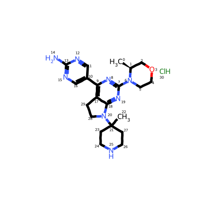 C[C@H]1COCCN1c1nc(-c2cnc(N)nc2)c2c(n1)N(C1(C)CCNCC1)CC2.Cl